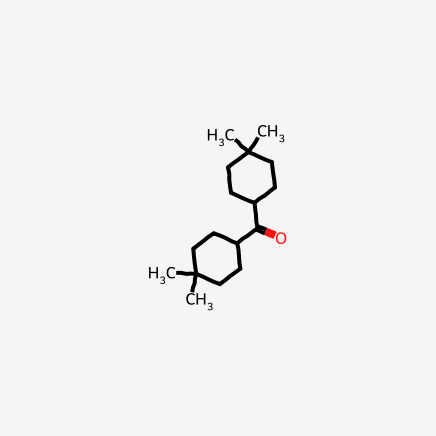 CC1(C)CCC(C(=O)C2CCC(C)(C)CC2)CC1